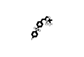 CC1(C)OCC(Cc2ccc(S(=O)(=O)c3ccc(F)cc3)cc2)N1C(=O)O